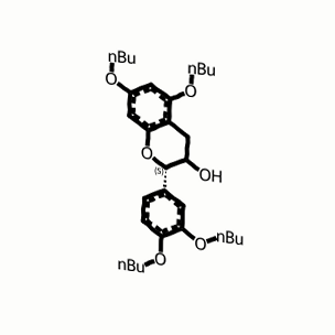 CCCCOc1cc(OCCCC)c2c(c1)O[C@@H](c1ccc(OCCCC)c(OCCCC)c1)C(O)C2